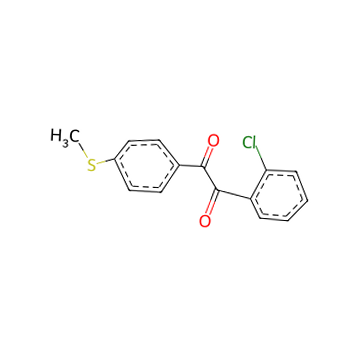 CSc1ccc(C(=O)C(=O)c2ccccc2Cl)cc1